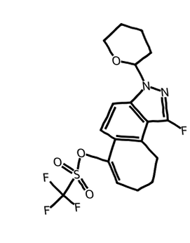 O=S(=O)(OC1=CCCCc2c1ccc1c2c(F)nn1C1CCCCO1)C(F)(F)F